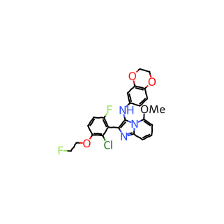 COc1cccc2nc(-c3c(F)ccc(OCCF)c3Cl)c(Nc3ccc4c(c3)OCCO4)n12